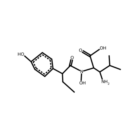 CCC(C(=O)N(O)C(C(=O)O)C(N)C(C)C)c1ccc(O)cc1